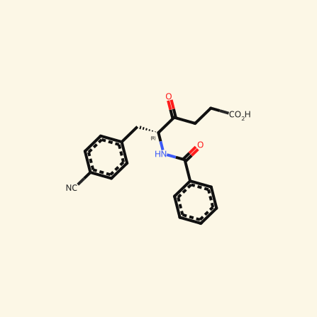 N#Cc1ccc(C[C@@H](NC(=O)c2ccccc2)C(=O)CCC(=O)O)cc1